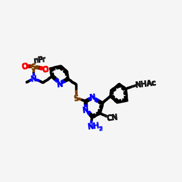 CCCS(=O)(=O)N(C)Cc1cccc(CSc2nc(N)c(C#N)c(-c3ccc(NC(C)=O)cc3)n2)n1